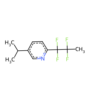 CC(C)c1ccc(C(F)(F)C(C)(F)F)nc1